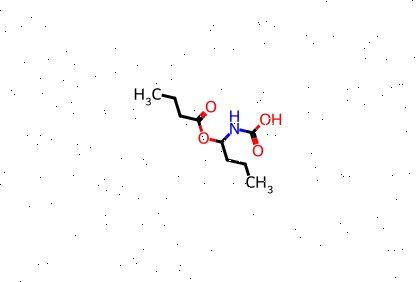 CCCC(=O)OC(CCC)NC(=O)O